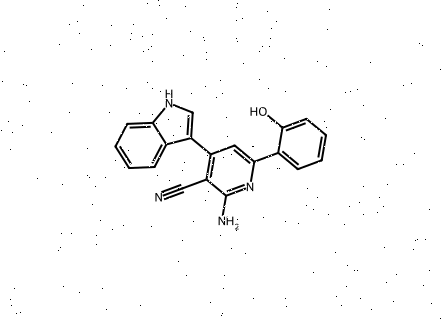 N#Cc1c(-c2c[nH]c3ccccc23)cc(-c2ccccc2O)nc1N